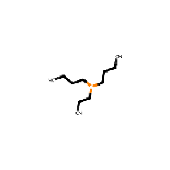 N#CCCCP(CCC#N)CCCC#N